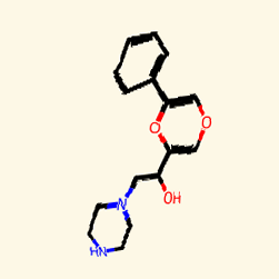 OC(CN1CCNCC1)C1=COC=C(C2=CC=CCC2)O1